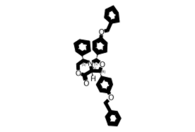 O=C1OC[C@H](c2ccccc2)N2[C@H]1[C@@H](c1ccc(OCc3ccccc3)cc1)O[C@H]2c1ccc(OCc2ccccc2)cc1